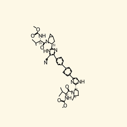 COC(=O)N[C@H](C(=O)N1C2CC2C[C@H]1c1nc(-c2ccc(-c3ccc(-c4c[nH]c([C@@H]5CC[C@@H](C)N5C(=O)[C@@H](NC(=O)OC)C(C)C)n4)cc3)cc2)c(C#N)[nH]1)C(C)C